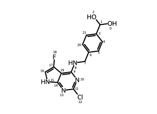 OC(O)c1ccc(CNc2nc(Cl)nc3[nH]cc(F)c23)cc1